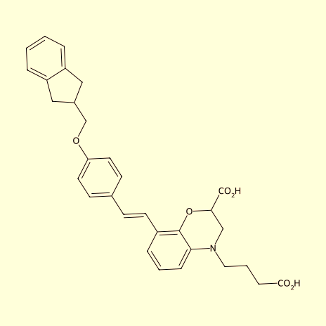 O=C(O)CCCN1CC(C(=O)O)Oc2c(C=Cc3ccc(OCC4Cc5ccccc5C4)cc3)cccc21